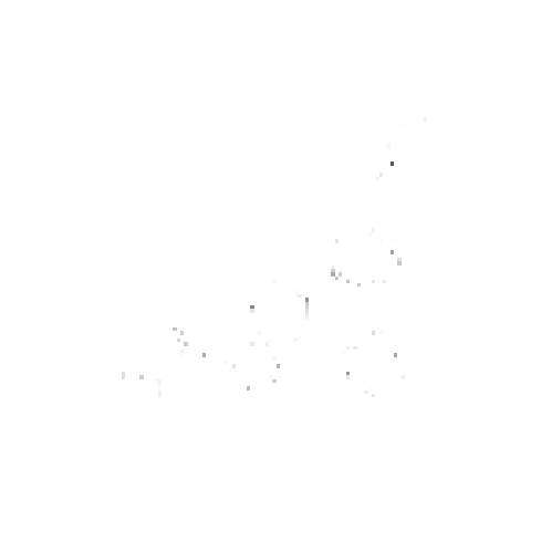 Cc1cc(-c2ncc(NC(=O)NC(C)C)cc2-c2ccc3c(cnn3C(=O)NC(C)C)c2)ccc1F